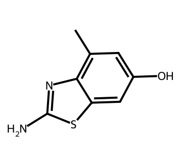 Cc1cc(O)cc2sc(N)nc12